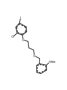 COc1ccccc1COCCCOc1ccc(I)cc1Cl